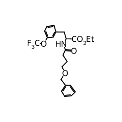 CCOC(=O)[C@H](Cc1cccc(OC(F)(F)F)c1)NC(=O)CCCOCc1ccccc1